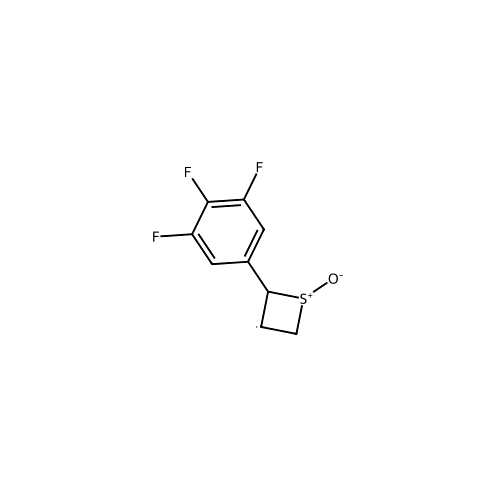 [O-][S+]1C[CH]C1c1cc(F)c(F)c(F)c1